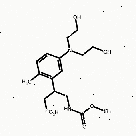 Cc1ccc(N(CCO)CCO)cc1C(CNC(=O)OC(C)(C)C)CC(=O)O